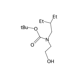 CCC(CC)CN(CCO)C(=O)OC(C)(C)C